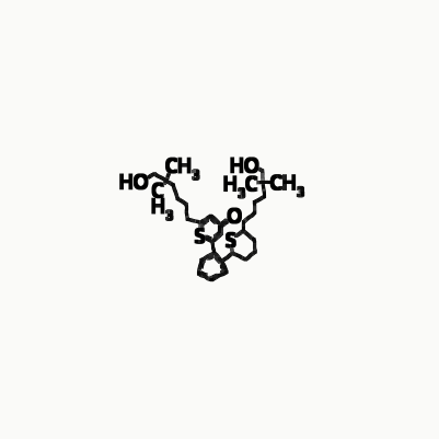 CC(C)(CO)CCCCc1cc(=O)cc(-c2ccccc2C2CCCC(CCCCC(C)(C)CO)S2)s1